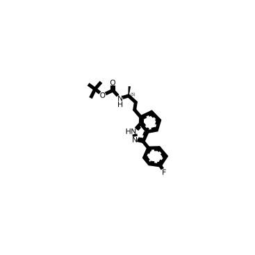 C[C@@H](CCc1cccc2c(-c3ccc(F)cc3)n[nH]c12)NC(=O)OC(C)(C)C